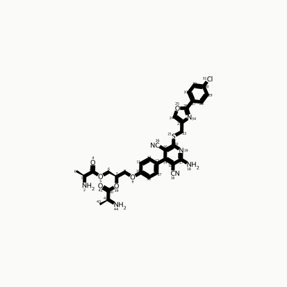 C[C@H](N)C(=O)OC[C@@H](COc1ccc(-c2c(C#N)c(N)nc(SCc3coc(-c4ccc(Cl)cc4)n3)c2C#N)cc1)OC(=O)[C@H](C)N